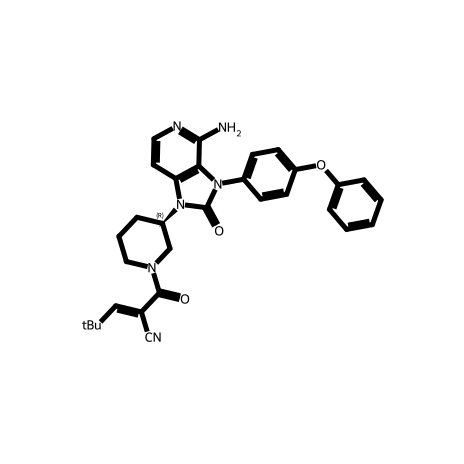 CC(C)(C)C=C(C#N)C(=O)N1CCC[C@@H](n2c(=O)n(-c3ccc(Oc4ccccc4)cc3)c3c(N)nccc32)C1